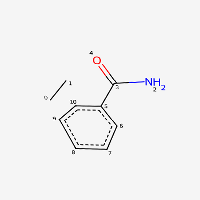 CC.NC(=O)c1ccccc1